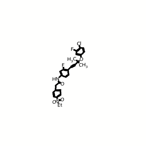 CCS(=O)(=O)c1ccc(CC(=O)Nc2ccc(C#CC(C)(C)Oc3ccc(Cl)c(F)c3)c(F)c2)cc1